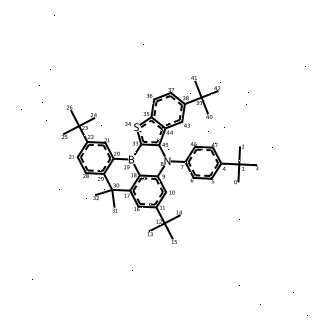 CC(C)(C)c1ccc(N2c3cc(C(C)(C)C)cc4c3B(c3cc(C(C)(C)C)ccc3C4(C)C)c3sc4ccc(C(C)(C)C)cc4c32)cc1